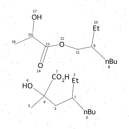 CCCCC(CC)CC(C)(O)C(=O)O.CCCCC(CC)COC(=O)C(C)O